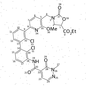 CCOC(=O)C1CN(Cc2ccc(-c3cccc(-c4cccc(NC(=O)c5ccnn(C)c5=O)c4Cl)c3Cl)nc2OC)C(=O)O1